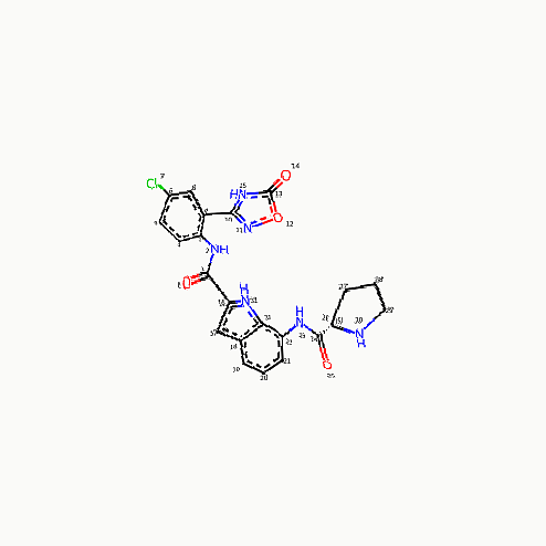 O=C(Nc1ccc(Cl)cc1-c1noc(=O)[nH]1)c1cc2cccc(NC(=O)[C@@H]3CCCN3)c2[nH]1